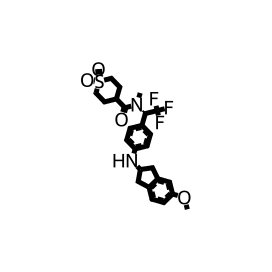 COc1ccc2c(c1)CC(Nc1ccc([C@H](N(C)C(=O)C3CCS(=O)(=O)CC3)C(F)(F)F)cc1)C2